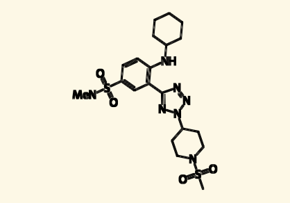 CNS(=O)(=O)c1ccc(NC2CCCCC2)c(-c2nnn(C3CCN(S(C)(=O)=O)CC3)n2)c1